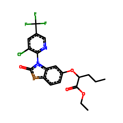 CCCC(Oc1ccc2sc(=O)n(-c3ncc(C(F)(F)F)cc3Cl)c2c1)C(=O)OCC